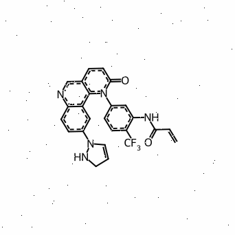 C=CC(=O)Nc1cc(-n2c(=O)ccc3cnc4ccc(N5C=CCN5)cc4c32)ccc1C(F)(F)F